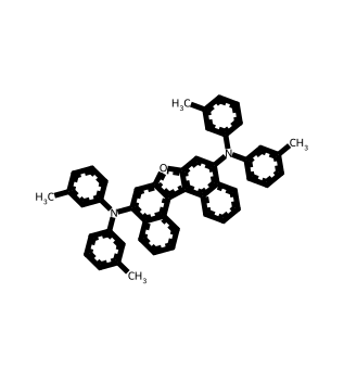 Cc1cccc(N(c2cccc(C)c2)c2cc3oc4cc(N(c5cccc(C)c5)c5cccc(C)c5)c5ccccc5c4c3c3ccccc23)c1